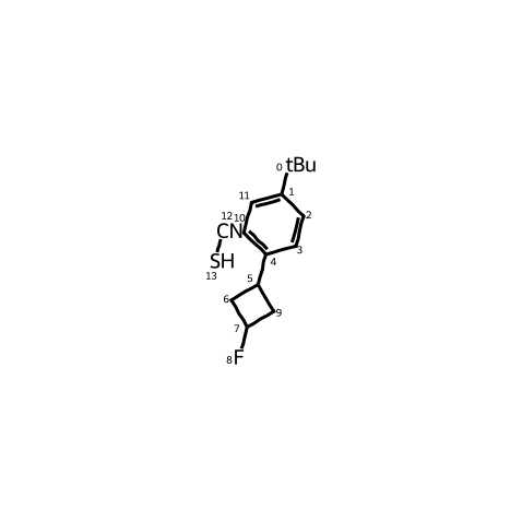 CC(C)(C)c1ccc(C2CC(F)C2)cc1.N#CS